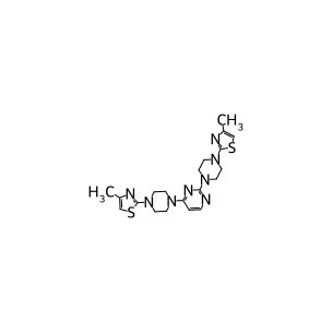 Cc1csc(N2CCN(c3ccnc(N4CCN(c5nc(C)cs5)CC4)n3)CC2)n1